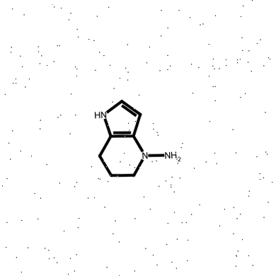 NN1CCCc2[nH]ccc21